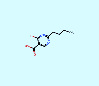 CCCCc1ncc(C(=O)O)c(O)n1